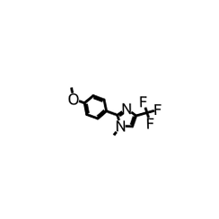 COc1ccc(-c2nc(C(F)(F)F)cn2C)cc1